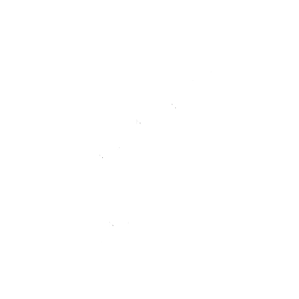 C[C@@H]1CN(CC(=O)N2CCc3ccc([N+](=O)[O-])cc32)CCN1OC(=O)C(C)(C)C